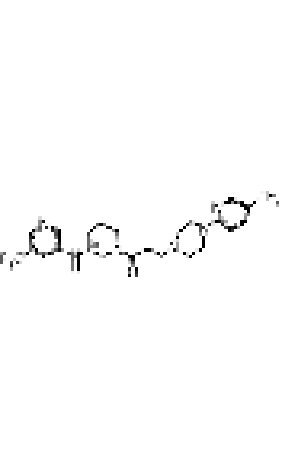 O=C(CCN1CCN(c2ccc(C(F)(F)F)cn2)CC1)N1CCC[C@H](Nc2cncc(C(F)(F)F)c2)C1